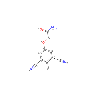 Cc1c(C#N)cc(OCC(N)=O)cc1C#N